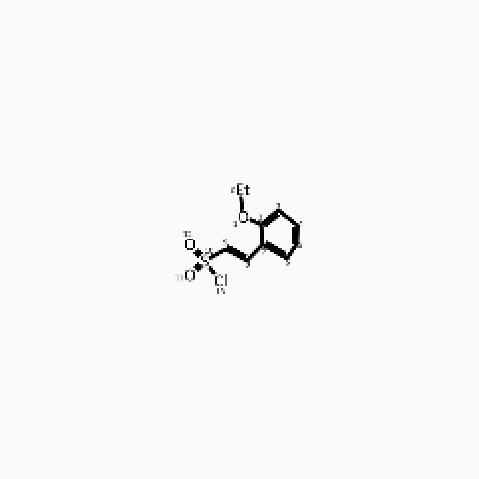 CCOc1ccccc1/C=C/S(=O)(=O)Cl